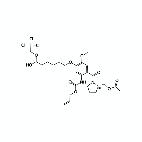 C=CCOC(=O)Nc1cc(OCCCCCC(O)OCC(Cl)(Cl)Cl)c(OC)cc1C(=O)N1CCC[C@H]1COC(C)=O